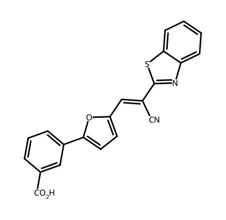 N#C/C(=C\c1ccc(-c2cccc(C(=O)O)c2)o1)c1nc2ccccc2s1